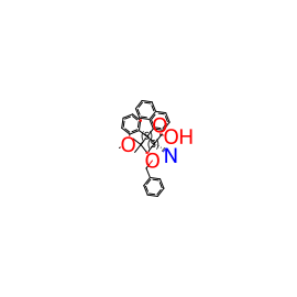 COc1ccccc1[C@@](c1cccc2ccccc12)(C(C)(C)C)[C@](C#N)(COCc1ccccc1)C(=O)O